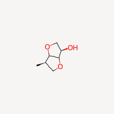 C[C@@H]1COC2C1OC[C@H]2O